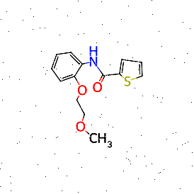 COCCOc1ccccc1NC(=O)c1cccs1